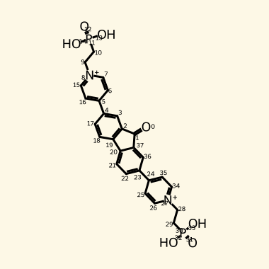 O=C1c2cc(-c3cc[n+](CCP(=O)(O)O)cc3)ccc2-c2ccc(-c3cc[n+](CCP(=O)(O)O)cc3)cc21